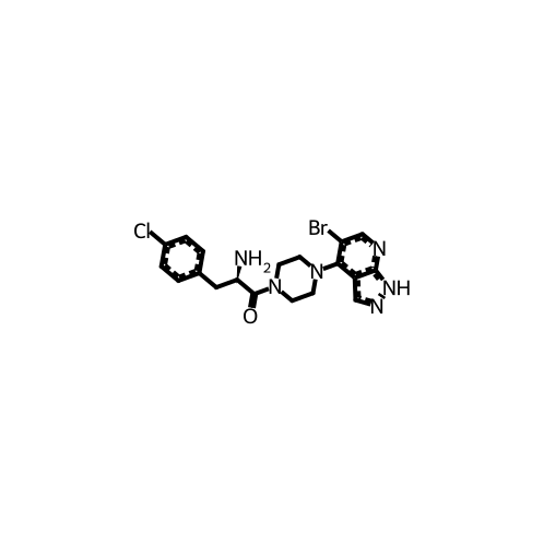 N[C@H](Cc1ccc(Cl)cc1)C(=O)N1CCN(c2c(Br)cnc3[nH]ncc23)CC1